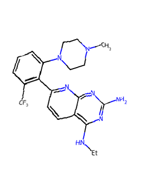 CCNc1nc(N)nc2nc(-c3c(N4CCN(C)CC4)cccc3C(F)(F)F)ccc12